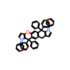 c1ccc(-n2ccc3c2C(c2ccccc2)(c2ccccc2)c2cc4c(cc2C3)C(c2ccccc2)(c2ccccc2)c2c(ccn2-c2ccccc2)O4)cc1